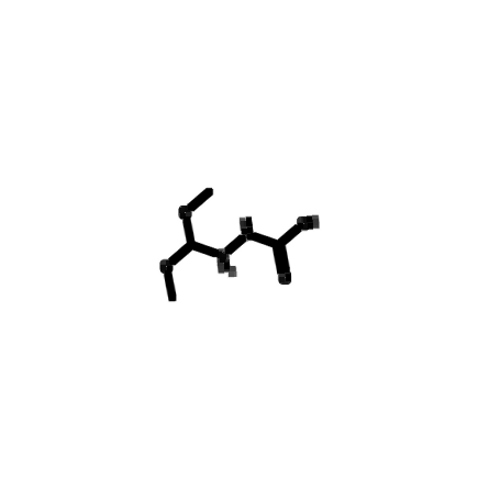 COC(OC)[SiH2]NC(=O)O